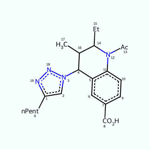 CCCCCc1cn(C2c3cc(C(=O)O)ccc3N(C(C)=O)C(CC)C2C)nn1